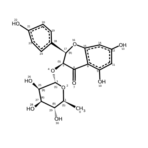 C[C@@H]1O[C@@H](O[C@@H]2C(=O)c3c(O)cc(O)cc3O[C@@H]2c2ccc(O)cc2)[C@H](O)[C@H](O)[C@H]1O